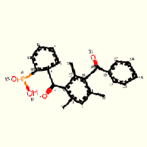 Cc1cc(C)c(C(=O)c2ccccc2[PH](=O)O)c(C)c1C(=O)c1ccccc1